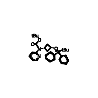 CC(C)(C)OC(=O)N(c1ccccn1)[C@H]1C[C@@H](O[Si](c2ccccc2)(c2ccccc2)C(C)(C)C)C1